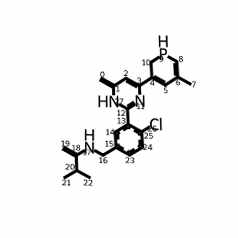 C=C1C=C(C2=CC(C)=CPC2)N=C(c2cc(CNC(=C)C(C)C)ccc2Cl)N1